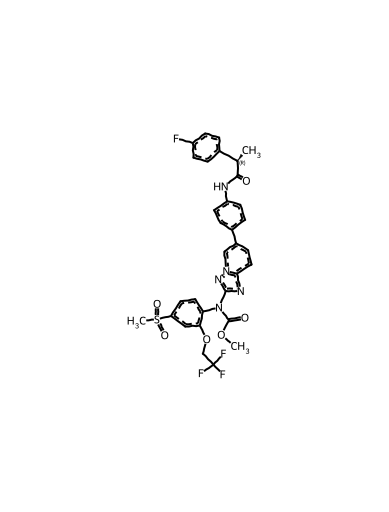 COC(=O)N(c1nc2ccc(-c3ccc(NC(=O)[C@H](C)c4ccc(F)cc4)cc3)cn2n1)c1ccc(S(C)(=O)=O)cc1OCC(F)(F)F